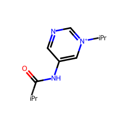 CC(C)C(=O)Nc1cnc[n+](C(C)C)c1